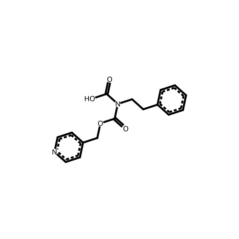 O=C(O)N(CCc1ccccc1)C(=O)OCc1ccncc1